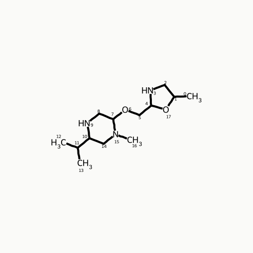 CC1CNC(COC2CNC(C(C)C)CN2C)O1